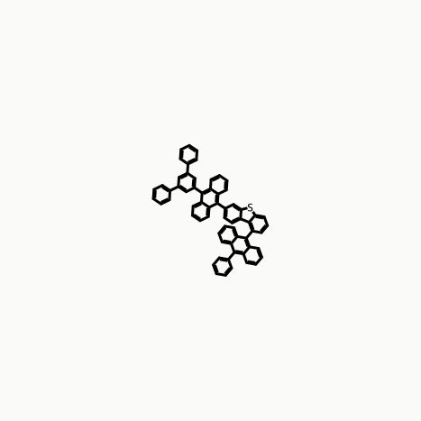 c1ccc(-c2cc(-c3ccccc3)cc(-c3c4ccccc4c(-c4ccc5c(c4)sc4cccc(-c6c7ccccc7c(-c7ccccc7)c7ccccc67)c45)c4ccccc34)c2)cc1